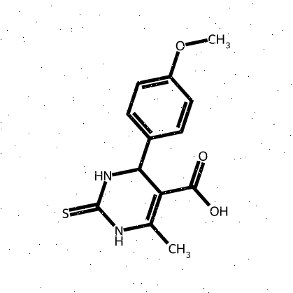 COc1ccc(C2NC(=S)NC(C)=C2C(=O)O)cc1